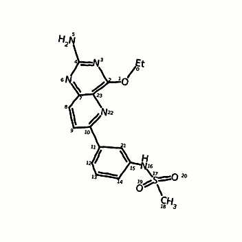 CCOc1nc(N)nc2ccc(-c3cccc(NS(C)(=O)=O)c3)nc12